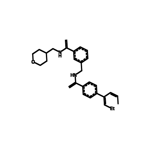 C=C(NCc1cccc(C(=C)NCC2CCOCC2)c1)c1ccc(C(/C=C\C)=C/CC)cc1